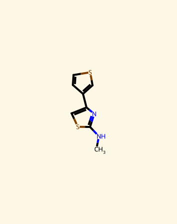 CNc1nc(-c2ccsc2)cs1